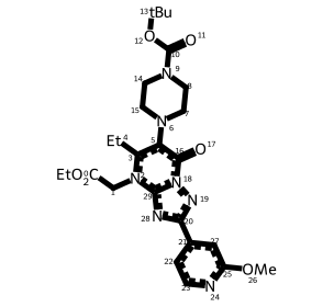 CCOC(=O)Cn1c(CC)c(N2CCN(C(=O)OC(C)(C)C)CC2)c(=O)n2nc(-c3ccnc(OC)c3)nc12